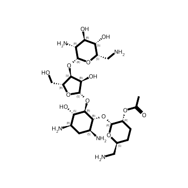 CC(=O)O[C@@H]1CC[C@@H](CN)O[C@@H]1O[C@H]1[C@H](O[C@@H]2O[C@H](CO)[C@@H](O[C@H]3O[C@@H](CN)[C@@H](O)[C@H](O)[C@H]3N)[C@H]2O)[C@@H](O)[C@H](N)C[C@@H]1N